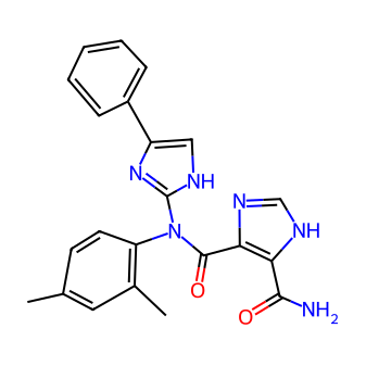 Cc1ccc(N(C(=O)c2nc[nH]c2C(N)=O)c2nc(-c3ccccc3)c[nH]2)c(C)c1